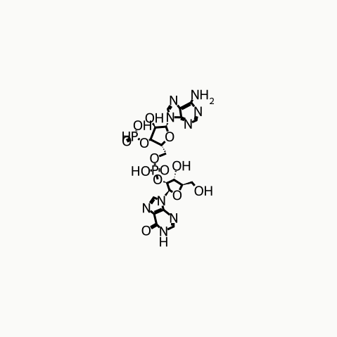 Nc1ncnc2c1ncn2[C@@H]1O[C@H](COP(=O)(O)O[C@@H]2[C@H](O)[C@@H](CO)O[C@H]2n2cnc3c(=O)[nH]cnc32)[C@@H](O[PH](=O)O)[C@H]1O